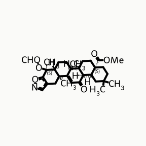 COC(=O)[C@]12CCC(C)(C)C[C@H]1[C@H]1C(=O)C=C3[C@@]4(C)Cc5cnoc5[C@@](C)(OC=O)[C@@H]4CC[C@@]3(C)[C@]1(C)CC2